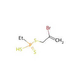 C=C(Br)CSP(=S)(S)CC